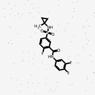 CC1(NS(=O)(=O)c2ccc(F)c(C(=O)Nc3ccc(F)c(F)c3)c2)CC1